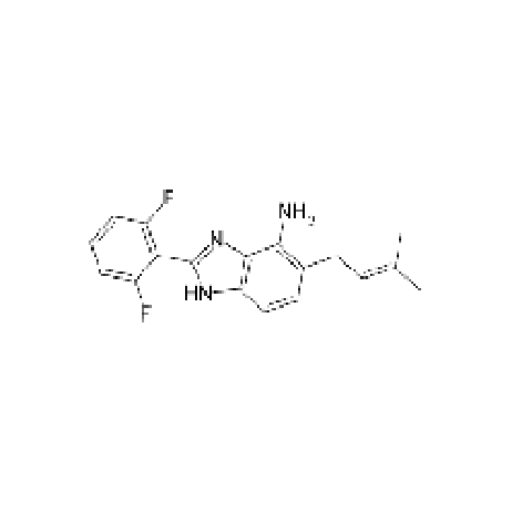 CC(C)=CCc1ccc2[nH]c(-c3c(F)cccc3F)nc2c1N